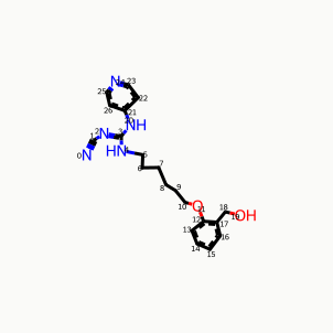 N#C/N=C(\NCCCCCCOc1ccccc1CO)Nc1ccncc1